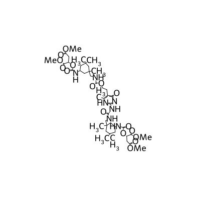 COC(=O)CC(OC(=O)NC1CC(C)(C)CC(C)(CNC(=O)Nc2nc(=O)c(CCOC(=O)NCC3(C)CC(NC(=O)OC(CC(=O)OC)C(=O)OC)CC(C)(C)C3)c(C)[nH]2)C1)C(=O)OC